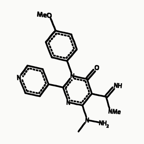 CNC(=N)c1c(N(C)N)nc(-c2ccncc2)n(-c2ccc(OC)cc2)c1=O